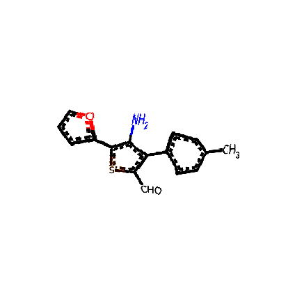 Cc1ccc(-c2c(C=O)sc(-c3ccco3)c2N)cc1